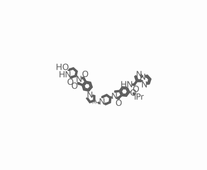 CC(C)Oc1cc2c(cc1NC(=O)c1cnn3cccnc13)CN(C1CCN(C[C@@H]3CCN(c4ccc5c(c4)C(=O)N(C4CCC(O)NC4=O)C5=O)C3)CC1)C2=O